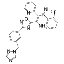 N/C(=C(/c1ccccn1)N(N)c1ccccc1F)c1nc(-c2cccc(Cn3cncn3)c2)no1